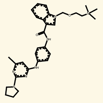 Cc1cc(Nc2ccc(NC(=O)c3cn(COCC[Si](C)(C)C)c4ccccc34)cc2)nc(N2CCCC2)n1